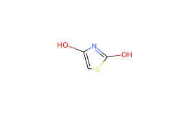 Oc1[c]sc(O)n1